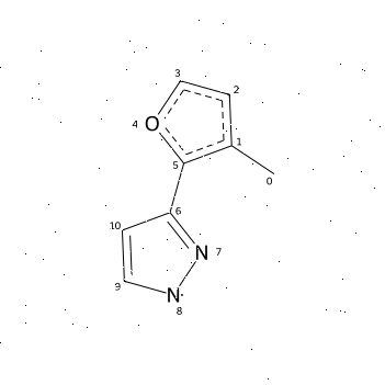 Cc1ccoc1C1=N[N]C=C1